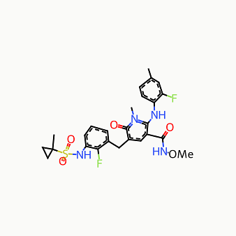 CONC(=O)c1cc(Cc2cccc(NS(=O)(=O)C3(C)CC3)c2F)c(=O)n(C)c1Nc1ccc(C)cc1F